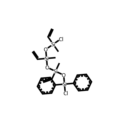 C=C[Si](C)(Cl)O[Si](C)(C=C)O[Si](C)(C=C)O[Si](Cl)(c1ccccc1)c1ccccc1